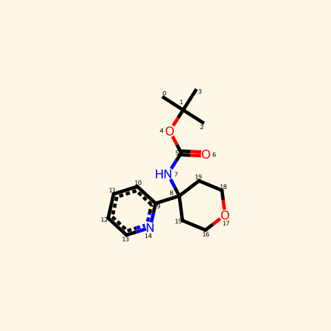 CC(C)(C)OC(=O)NC1(c2ccccn2)CCOCC1